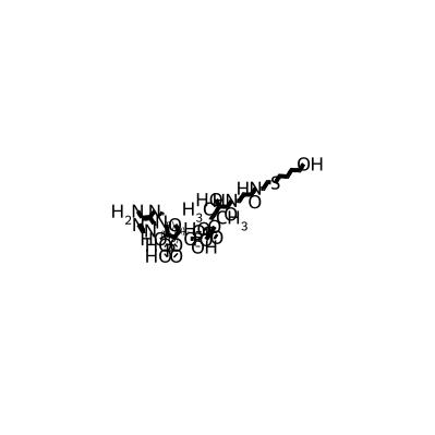 CC(C)(COP(=O)(O)OP(=O)(O)OC[C@H]1O[C@@H](n2cnc3c(N)ncnc32)[C@H](O)[C@@H]1OP(=O)(O)O)C(O)C(=O)NCCC(=O)NCCSCCCCO